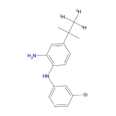 [2H]C([2H])([2H])C(C)(C)c1ccc(Nc2cccc(Br)c2)c(N)c1